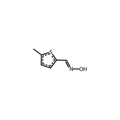 Cc1ccc(C=NO)s1